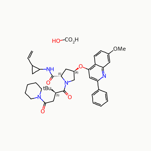 C=CC1CC1NC(=O)[C@@H]1C[C@@H](Oc2cc(-c3ccccc3)nc3cc(OC)ccc23)CN1C(=O)[C@@H](CC(=O)N1CCCCC1)C(C)(C)C.O=C(O)O